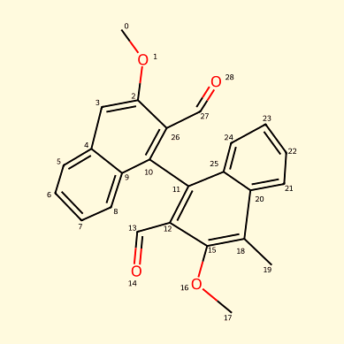 COc1cc2ccccc2c(-c2c(C=O)c(OC)c(C)c3ccccc23)c1C=O